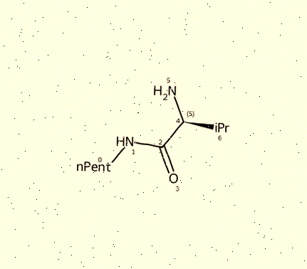 CCCCCNC(=O)[C@@H](N)C(C)C